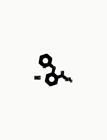 Cl.NNc1ccccc1Oc1ccccn1